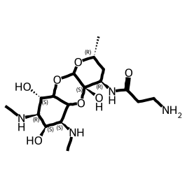 CN[C@@H]1[C@H](O)[C@H](NC)C2O[C@]3(O)C(OC2[C@H]1O)O[C@H](C)C[C@H]3NC(=O)CCN